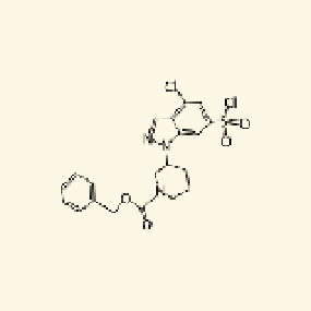 O=C(OCc1ccccc1)N1CCCC(n2ncc3c(Cl)cc(S(=O)(=O)Cl)cc32)C1